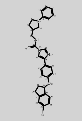 O=C(NCC1CCN(c2ccccc2)C1)n1cnc(-c2ccc(OC3CCc4cc(F)ccc43)cc2)c1